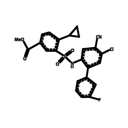 COC(=O)c1ccc(C2CC2)c(S(=O)(=O)Nc2cc(C#N)c(Cl)cc2-c2cccc(F)c2)c1